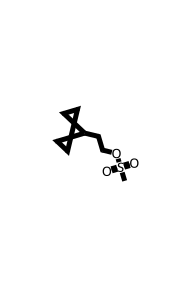 CS(=O)(=O)OCCC1C2(CC2)C12CC2